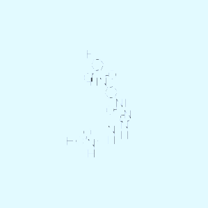 CC(C)(CCNCc1[nH]cnc1C(=O)Nc1ccc(NC(=O)c2ccc(F)cc2Cl)cc1)NC(=O)O